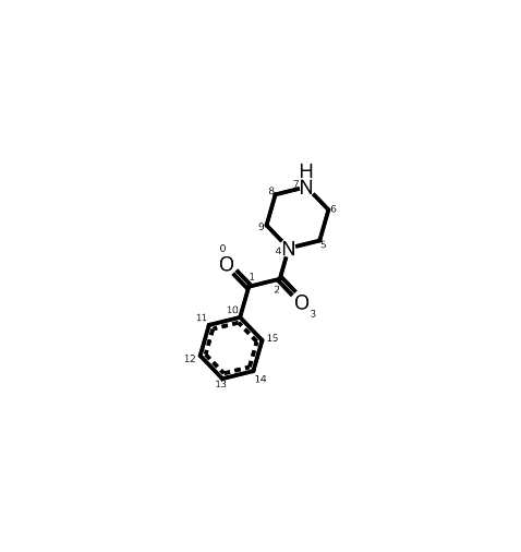 O=C(C(=O)N1CCNCC1)c1ccccc1